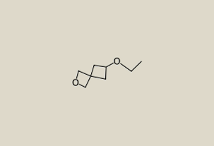 CCOC1CC2(COC2)C1